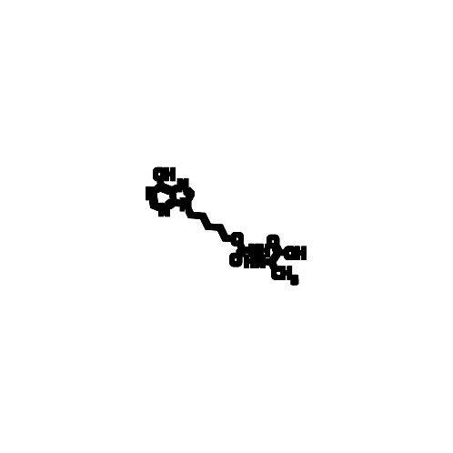 CC(NNC(=O)OCCCCCn1cnc2c(O)ncnc21)C(=O)O